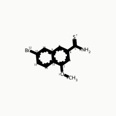 COc1cc(C(N)=S)cc2cc(Br)ccc12